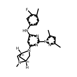 Cc1cc(C)n(-c2nc(Nc3ccc(C)c(F)c3)cc(N3C[C@H]4C[C@@H]3CN4C)n2)n1